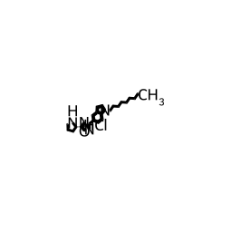 CCCCCCCCCn1ccc2cc(-c3noc([C@@H]4CCCN4)n3)ccc21.Cl